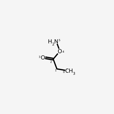 CCC(=O)ON